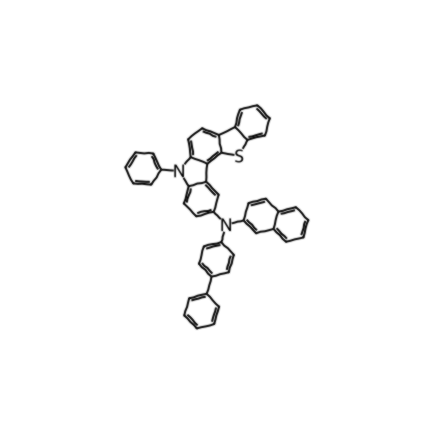 c1ccc(-c2ccc(N(c3ccc4ccccc4c3)c3ccc4c(c3)c3c5sc6ccccc6c5ccc3n4-c3ccccc3)cc2)cc1